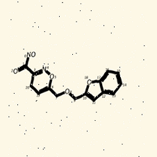 O=NC(=O)C1=NOC(COCc2cc3ccccc3o2)=CC1